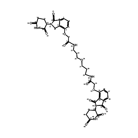 O=C(COc1cccc2c1CN(C1CCC(=O)NC1=O)C2=O)NCCCOCCCNC(=O)COc1cccc2c1C(=O)N(C1CCC(=O)NC1=O)C2=O